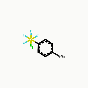 CC(C)(C)c1ccc(S(F)(F)(F)(F)Cl)cc1